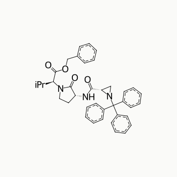 CC(C)[C@@H](C(=O)OCc1ccccc1)N1CC[C@@H](NC(=O)[C@@H]2CN2C(c2ccccc2)(c2ccccc2)c2ccccc2)C1=O